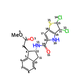 COC(=O)C[C@@H]1c2ccccc2C[C@H]1NC(=O)c1cc2c([nH]1)C(Cl)C(Cl)S2